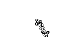 c1ccc(-c2ccccc2-c2cccc3c2oc2c(-c4ccccc4-c4ccccc4-c4cccc5c4oc4c(-c6ccccc6-c6ccccc6)cccc45)cccc23)cc1